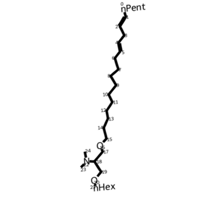 CCCCCC=CCC=CCCCCCCCCCCOCC(COCCCCCC)N(C)C